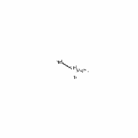 [MgH2].[SiH3][Nd].[Ti]